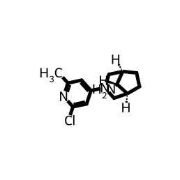 Cc1cc(N2C[C@H]3CC[C@@H](C2)[C@@H]3N)cc(Cl)n1